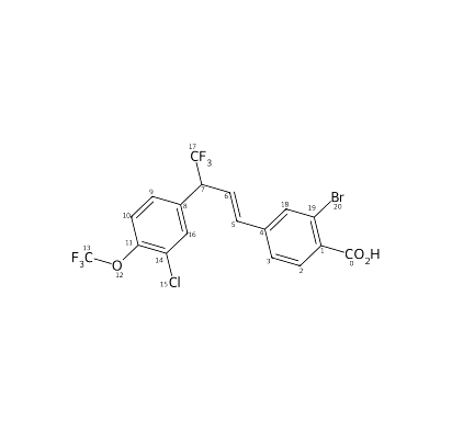 O=C(O)c1ccc(/C=C/C(c2ccc(OC(F)(F)F)c(Cl)c2)C(F)(F)F)cc1Br